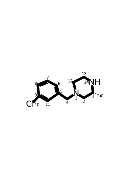 C[C@@H]1CN(Cc2cccc(Cl)c2)CCN1